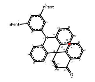 CCCCCc1cc(CCCCC)cc(N2c3ccccc3C3(c4ccccc4C(=O)c4ccccc43)c3ccccc32)c1